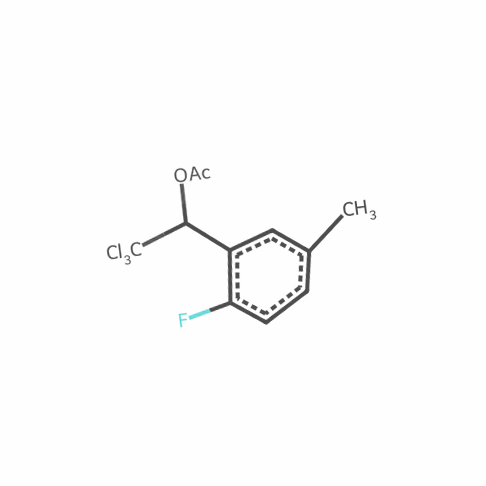 CC(=O)OC(c1cc(C)ccc1F)C(Cl)(Cl)Cl